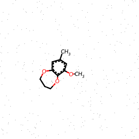 COc1cc(C)cc2c1OCCCO2